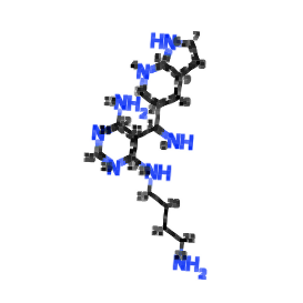 N=C(c1cnc2[nH]ccc2c1)c1c(N)ncnc1NCCCCN